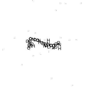 CNC(=O)COc1cc2cc(Nc3nc(N4CCC(F)(CN5CCC6(CC5)CCN(c5cccc7c5CN(C5CCC(=O)NC5=O)C7=O)CC6)CC4)ncc3Cl)ccc2n(C(C)C)c1=O